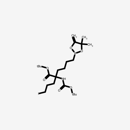 C=C1OB(CCCCC(CCCI)(NC(=O)OC(C)(C)C)C(=O)OC(C)(C)C)OC1(C)C